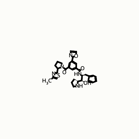 Cc1csc(C2CCCN2C(=O)c2cc(C(=O)N[C@@H](Cc3ccccc3)[C@H](O)[C@H]3CCCN3)cc(-c3ncco3)c2)n1